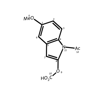 COc1ccc2c(c1)cc(OC(=O)O)n2C(C)=O